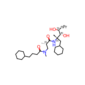 CCC[C@H](O)[C@H](O)[C@](C)(CC1CCCCC1)NC(=O)[C@@H](C)CN(C)C(=O)CCCC1CCCCC1